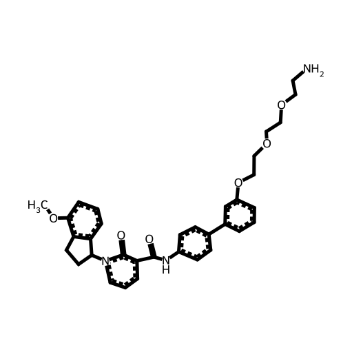 COc1cccc2c1CCC2n1cccc(C(=O)Nc2ccc(-c3cccc(OCCOCCOCCN)c3)cc2)c1=O